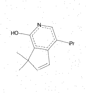 CC(C)c1cnc(O)c2c1C=CC2(C)C